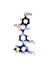 COc1ccc(NC(=O)N2CCN(c3nc(N)nc4scnc34)C(C)C2)c(C)c1